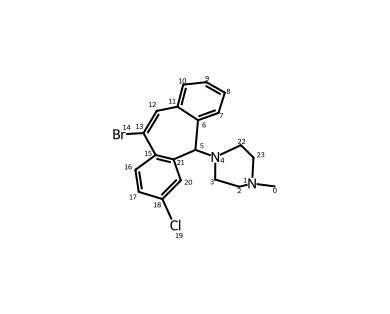 CN1CCN(C2c3ccccc3C=C(Br)c3ccc(Cl)cc32)CC1